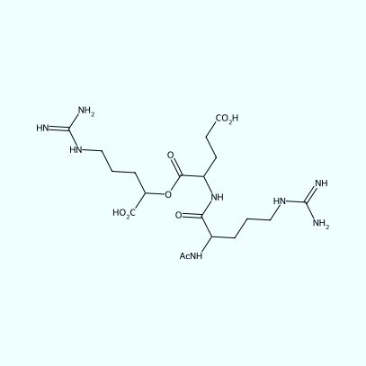 CC(=O)NC(CCCNC(=N)N)C(=O)NC(CCC(=O)O)C(=O)OC(CCCNC(=N)N)C(=O)O